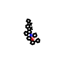 CC1(C)c2ccccc2-c2ccc3c(c21)C(C)(C)c1cc(N(c2ccccc2)c2cccc4c2oc2c(-c5ccccc5)cccc24)c2ccccc2c1-3